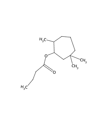 CCCC(=O)OC1CC(C)(C)CCCC1C